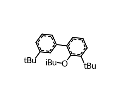 CCC(C)Oc1c(-c2cccc(C(C)(C)C)c2)cccc1C(C)(C)C